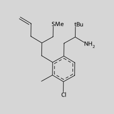 C=CCC(CSC)Cc1c(CC(N)C(C)(C)C)ccc(Cl)c1C